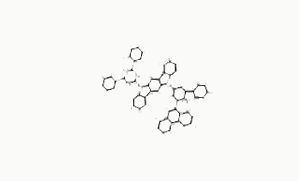 c1ccc(-c2nc(-c3ccccc3)nc(-n3c4ccccc4c4cc5c(cc43)c3ccccc3n5-c3cc(-c4cc5ccccc5c5ccccc45)c4oc5ccccc5c4c3)n2)cc1